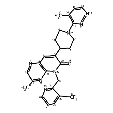 Cc1cnc2cc(C3CCN(c4nnccc4C(F)(F)F)CC3)c(=O)n(Cc3ncccc3C(F)(F)F)c2n1